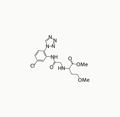 COCCC(NCC(=O)Nc1cc(Cl)ccc1-n1cnnn1)C(=O)OC